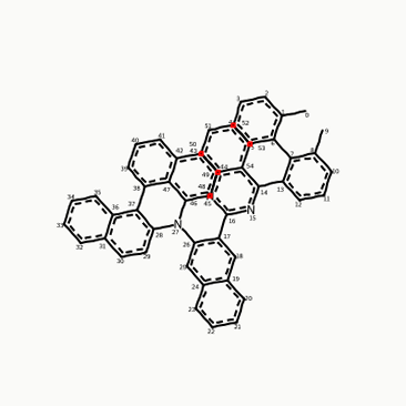 Cc1ccccc1-c1c(C)cccc1-c1nc(-c2cc3ccccc3cc2N2c3ccc4ccccc4c3-c3cccc4cccc2c34)nc2ccccc12